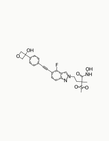 CC(CCn1cc2c(F)c(C#Cc3ccc(C4(O)COC4)cc3)ccc2n1)(C(=O)NO)S(C)(=O)=O